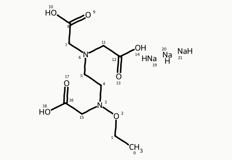 CCON(CCN(CC(=O)O)CC(=O)O)CC(=O)O.[NaH].[NaH].[NaH]